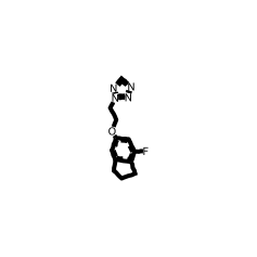 Fc1cc(OCCn2ncnn2)cc2c1CCC2